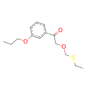 CCCOc1cccc(C(=O)COCSCC)c1